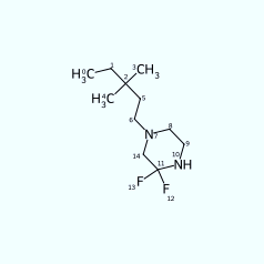 CCC(C)(C)CCN1CCNC(F)(F)C1